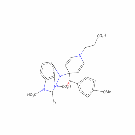 CCC1N(C(=O)O)c2ccc3cc2[N+]1(C(=O)O)N3C1(C(=O)c2ccc(OC)cc2)C=CN(CCC(=O)O)C=C1